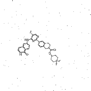 O=C(OC1CCC(F)(F)CC1)N1CCc2cc(-c3ncc(F)c(Nc4ccc5c(=O)[nH]ccc5c4)n3)ccc2C1